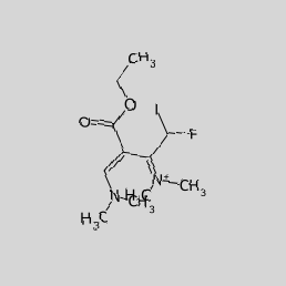 CCOC(=O)/C(=C/N(C)C)C(C(F)I)=[N+](C)C